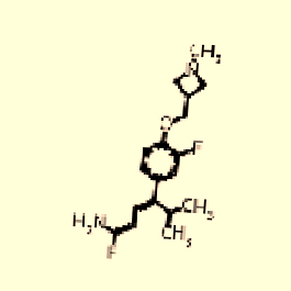 CC(C)/C(=C\C=C(/N)F)c1ccc(OCC2CN(C)C2)c(F)c1